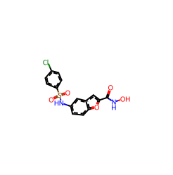 O=C(NO)c1cc2cc(NS(=O)(=O)c3ccc(Cl)cc3)ccc2o1